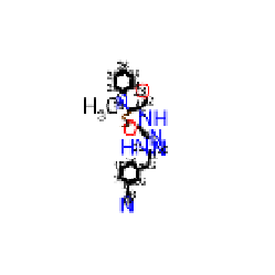 CN1C(=S)C(NC(=O)c2nnc(Cc3cccc(C#N)c3)[nH]2)COc2ccccc21